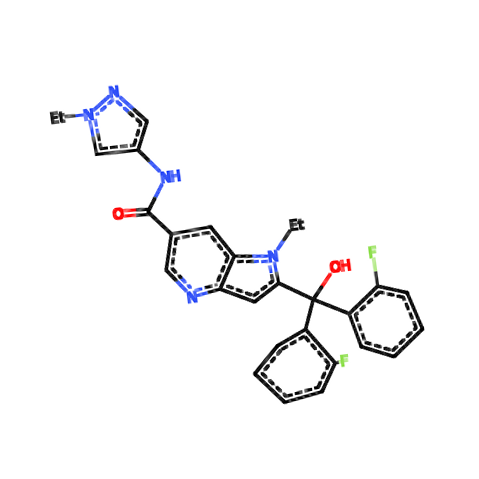 CCn1cc(NC(=O)c2cnc3cc(C(O)(c4ccccc4F)c4ccccc4F)n(CC)c3c2)cn1